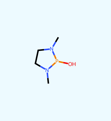 CN1CCN(C)P1O